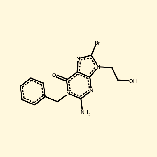 Nc1nc2c(nc(Br)n2CCO)c(=O)n1Cc1ccccc1